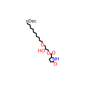 CCCCCCCCCCCCCCCCCCCCOCC(O)COC(=O)C1CCC(=O)N1